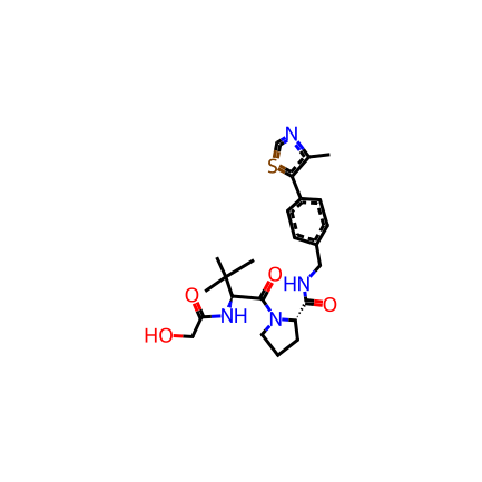 Cc1ncsc1-c1ccc(CNC(=O)[C@@H]2CCCN2C(=O)[C@@H](NC(=O)CO)C(C)(C)C)cc1